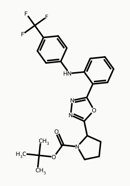 CC(C)(C)OC(=O)N1CCCC1c1nnc(-c2ccccc2Nc2ccc(C(F)(F)F)cc2)o1